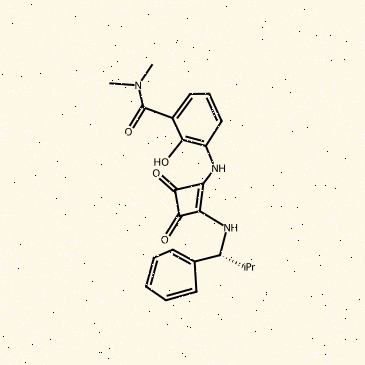 CC(C)[C@@H](Nc1c(Nc2cccc(C(=O)N(C)C)c2O)c(=O)c1=O)c1ccccc1